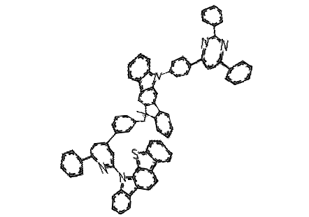 C[C@]1(Cc2cccc(-c3cc(-c4ccccc4)nc(-n4c5ccccc5c5ccc6c7ccccc7sc6c54)c3)c2)c2ccccc2-c2cc3c(cc21)c1ccccc1n3-c1ccc(-c2cc(-c3ccccc3)nc(-c3ccccc3)n2)cc1